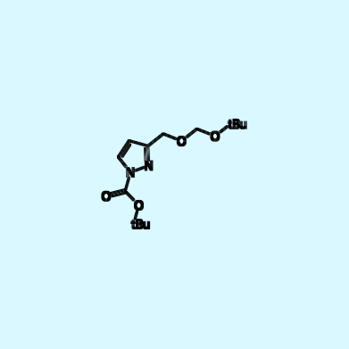 CC(C)(C)OCOCc1ccn(C(=O)OC(C)(C)C)n1